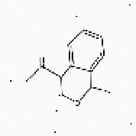 CNC1COC(C)c2ccccc21